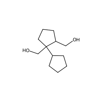 OCC1CCCC1(CO)C1CCCC1